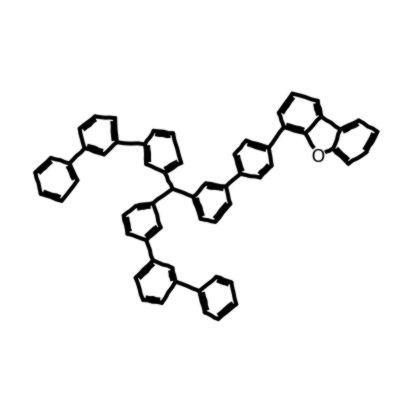 c1ccc(-c2cccc(-c3cccc(C(c4cccc(-c5ccc(-c6cccc7c6oc6ccccc67)cc5)c4)c4cccc(-c5cccc(-c6ccccc6)c5)c4)c3)c2)cc1